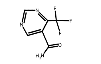 NC(=O)c1cncnc1C(F)(F)F